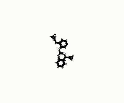 O=C(Oc1ccccc1CC1CO1)Oc1ccccc1CC1CO1